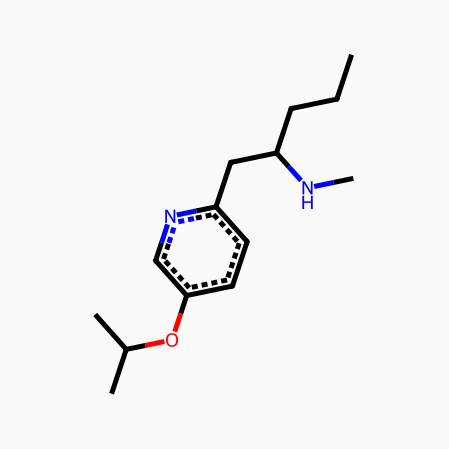 CCCC(Cc1ccc(OC(C)C)cn1)NC